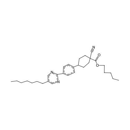 CCCCCCCc1cnc(-c2ccc(C3CCC(C#N)(C(=O)OCCCCC)CC3)cc2)nc1